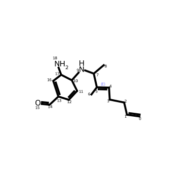 C=CCC/C=C(\C)C(C)NC1C=CC(C=O)=CC1N